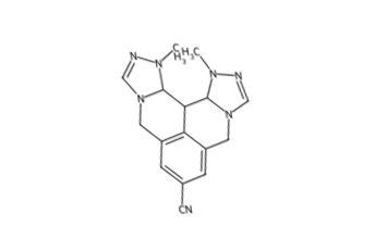 CN1N=CN2Cc3cc(C#N)cc4c3C(C21)C1N(C=NN1C)C4